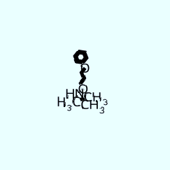 CC(C)(C)NOCCCOc1ccccc1